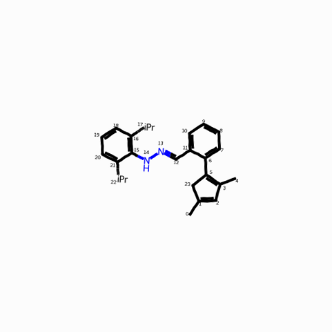 CC1=CC(C)=C(c2ccccc2/C=N/Nc2c(C(C)C)cccc2C(C)C)C1